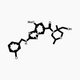 COc1cc(C(=O)N2CC(C)OCC2(C)CO)cn2nc(NCc3cccc(Cl)c3)nc12